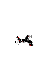 O=C(NS(=O)(=O)c1ccc(OCC2(F)CCOCC2)c([N+](=O)[O-])c1)c1ccc(-c2ccc(N3CCCC3c3ccccc3Cl)cc2)cc1Oc1cnc2[nH]ccc2c1